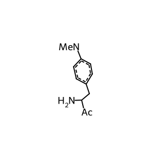 CNc1ccc(CC(N)C(C)=O)cc1